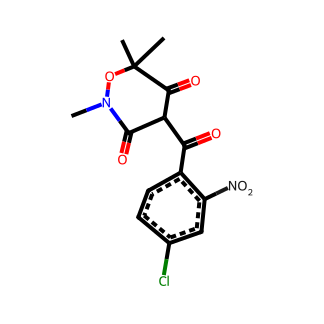 CN1OC(C)(C)C(=O)C(C(=O)c2ccc(Cl)cc2[N+](=O)[O-])C1=O